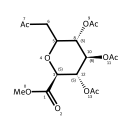 COC(=O)[C@H]1OC(CC(C)=O)[C@H](OC(C)=O)[C@@H](OC(C)=O)[C@@H]1OC(C)=O